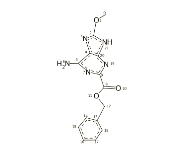 COc1nc2c(N)nc(C(=O)OCc3ccccc3)nc2[nH]1